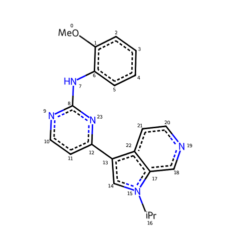 COc1ccccc1Nc1nccc(-c2cn(C(C)C)c3cnccc23)n1